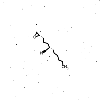 CCCCCC[C@H](C#N)CCC[C@H]1CO1